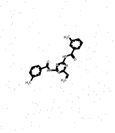 C=Cc1nc(NC(=O)c2cccc(C)c2)nc(NC(=O)c2cccc(C)c2)n1